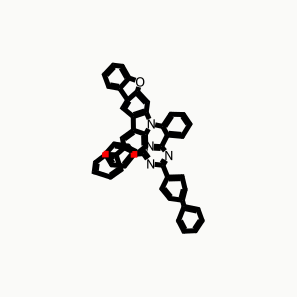 c1ccc(-c2ccc(-c3nc(-c4ccccc4)nc(-c4ccccc4-n4c5ccc(-c6ccccc6)cc5c5cc6c(cc54)oc4ccccc46)n3)cc2)cc1